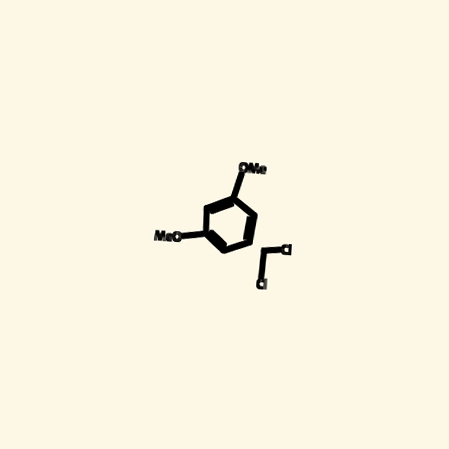 COc1cccc(OC)c1.ClCCl